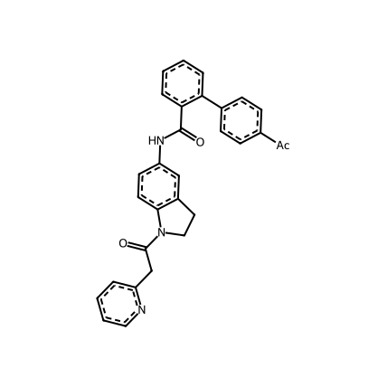 CC(=O)c1ccc(-c2ccccc2C(=O)Nc2ccc3c(c2)CCN3C(=O)Cc2ccccn2)cc1